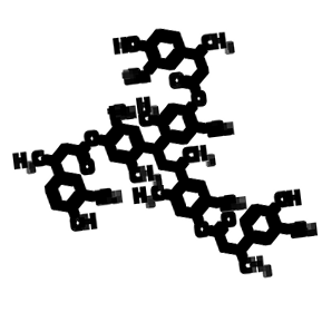 Cc1cc(OC(=O)CC(C)c2ccc(O)c(C(C)(C)C)c2)c(C(C)(C)C)cc1C(C)CC(c1cc(C(C)(C)C)c(OC(=O)CC(C)c2ccc(O)c(C(C)(C)C)c2)cc1C)c1cc(C(C)(C)C)c(OC(=O)CC(C)c2ccc(O)c(C(C)(C)C)c2)cc1C